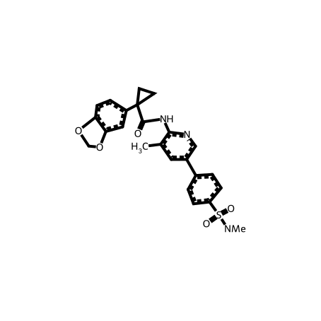 CNS(=O)(=O)c1ccc(-c2cnc(NC(=O)C3(c4ccc5c(c4)OCO5)CC3)c(C)c2)cc1